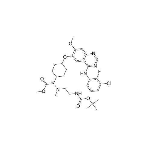 COC(=O)[C@H](C1CCC(Oc2cc3c(Nc4cccc(Cl)c4F)ncnc3cc2OC)CC1)N(C)CCNC(=O)OC(C)(C)C